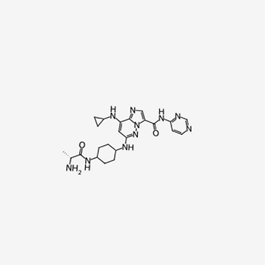 C[C@@H](N)C(=O)NC1CCC(Nc2cc(NC3CC3)c3ncc(C(=O)Nc4ccncn4)n3n2)CC1